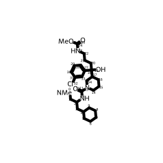 CNCC(CC1CCCCC1)NC(=O)N1CCCC(C(O)(CCCNC(=O)OC)c2cccc(Cl)c2)C1